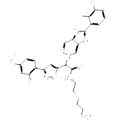 CCCOc1ccc(-c2cc(C(C(=O)NCCOCCOC)n3cc4nc(-c5cccc(F)c5F)nc-4cn3)on2)c(C(F)(F)F)c1